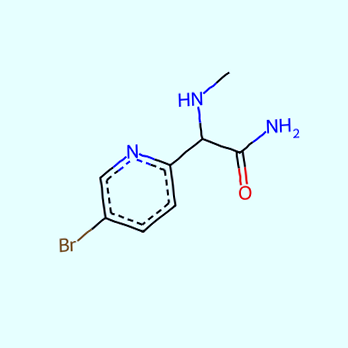 CNC(C(N)=O)c1ccc(Br)cn1